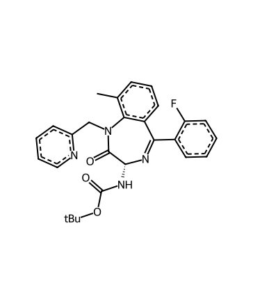 Cc1cccc2c1N(Cc1ccccn1)C(=O)[C@@H](NC(=O)OC(C)(C)C)N=C2c1ccccc1F